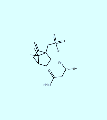 CC1(C)C2CCC1(CS(=O)(=O)[O-])C(=O)C2.CCCCCCC(=O)C[S+](C(C)C)C(C)C